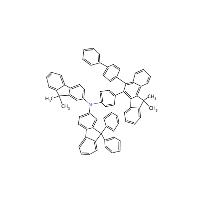 CC1(C)c2ccccc2-c2ccc(N(c3ccc(-c4c5c(c6ccccc6c4-c4ccc(-c6ccccc6)cc4)C(C)(C)c4ccccc4-5)cc3)c3ccc4c(c3)C(c3ccccc3)(c3ccccc3)c3ccccc3-4)cc21